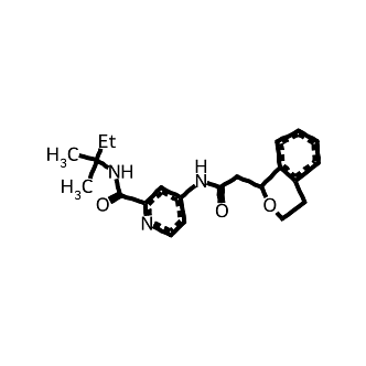 CCC(C)(C)NC(=O)c1cc(NC(=O)CC2OCCc3ccccc32)ccn1